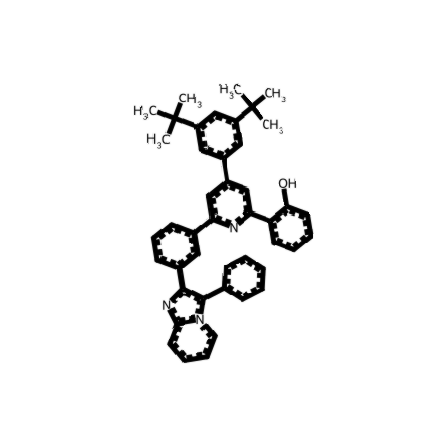 CC(C)(C)c1cc(-c2cc(-c3cccc(-c4nc5ccccn5c4-c4ccccc4)c3)nc(-c3ccccc3O)c2)cc(C(C)(C)C)c1